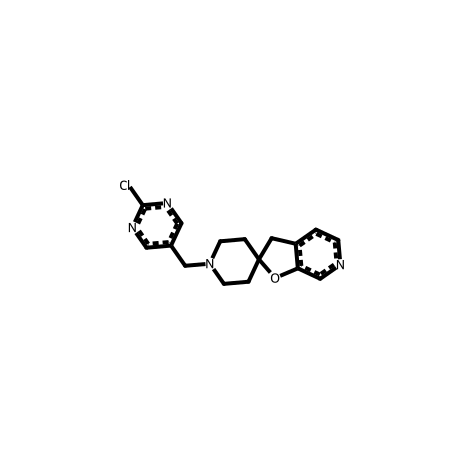 Clc1ncc(CN2CCC3(CC2)Cc2ccncc2O3)cn1